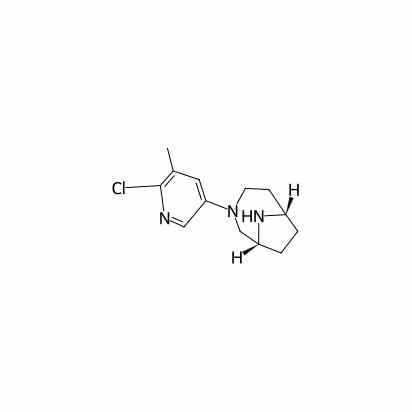 Cc1cc(N2CC[C@@H]3CC[C@H](C2)N3)cnc1Cl